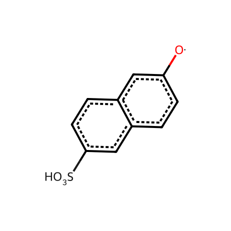 [O]c1ccc2cc(S(=O)(=O)O)ccc2c1